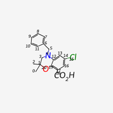 CC1(C)CN(Cc2ccccc2)c2cc(Cl)cc(C(=O)O)c2O1